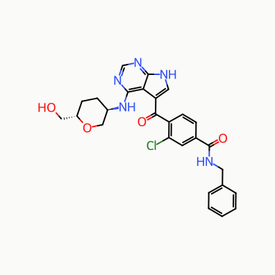 O=C(NCc1ccccc1)c1ccc(C(=O)c2c[nH]c3ncnc(N[C@@H]4CC[C@@H](CO)OC4)c23)c(Cl)c1